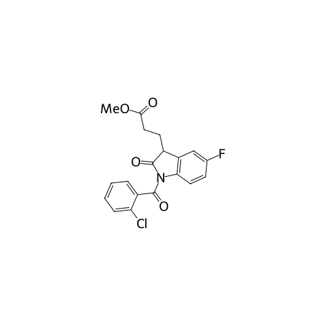 COC(=O)CCC1C(=O)N(C(=O)c2ccccc2Cl)c2ccc(F)cc21